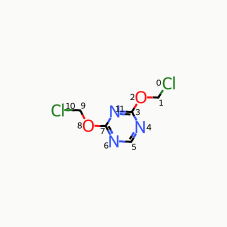 ClCOc1ncnc(OCCl)n1